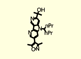 CCCC(CCC)n1c2cc(C(C)(C)O)ncc2c2ncc(-c3c(C)noc3C)cc21